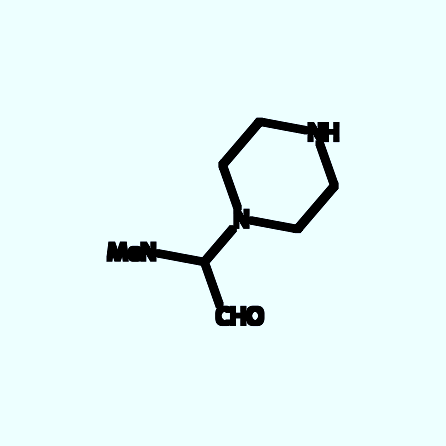 CNC(C=O)N1CCNCC1